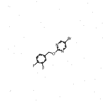 Fc1ccc(COc2ncc(Br)cn2)cc1F